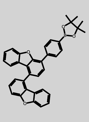 CC1(C)OB(c2ccc(-c3ccc(-c4cccc5oc6ccccc6c45)c4c3oc3ccccc34)cc2)OC1(C)C